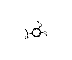 COc1ccc(C(C)[O])cc1OC